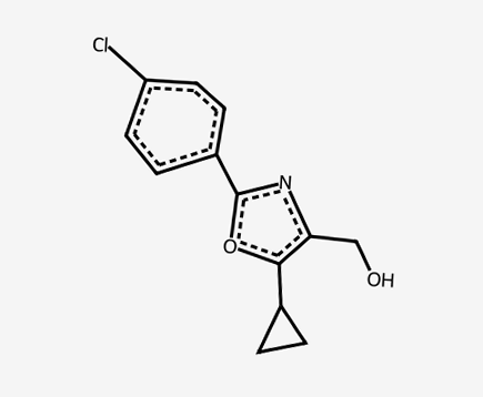 OCc1nc(-c2ccc(Cl)cc2)oc1C1CC1